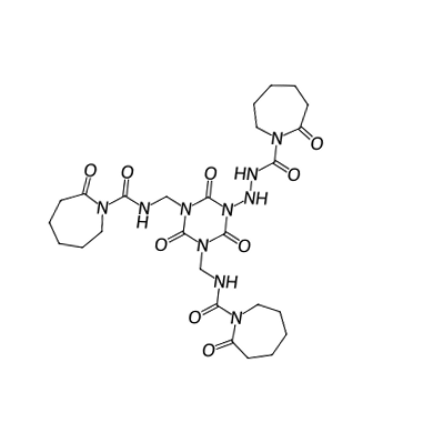 O=C1CCCCCN1C(=O)NCn1c(=O)n(CNC(=O)N2CCCCCC2=O)c(=O)n(NNC(=O)N2CCCCCC2=O)c1=O